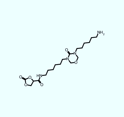 NCCCCCCN1COCN(CCCCCCNC(=O)C2COC(=O)O2)C1=O